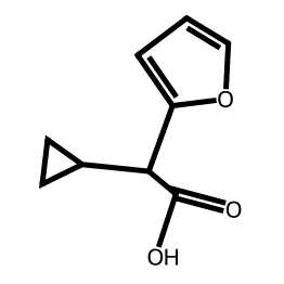 O=C(O)C(c1ccco1)C1CC1